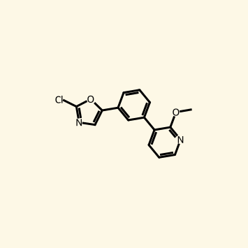 COc1ncccc1-c1cccc(-c2cnc(Cl)o2)c1